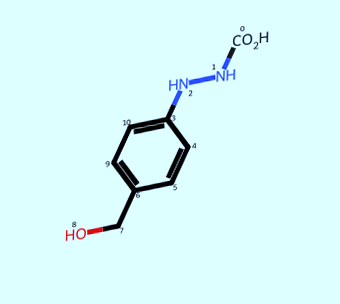 O=C(O)NNc1ccc(CO)cc1